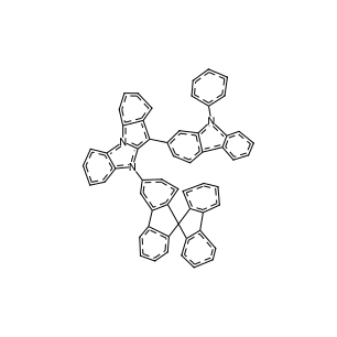 c1ccc(-n2c3ccccc3c3ccc(-c4c5ccccc5n5c6ccccc6n(-c6ccc7c(c6)-c6ccccc6C76c7ccccc7-c7ccccc76)c45)cc32)cc1